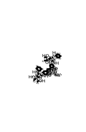 CC(O)N(c1nc(Nc2ccccc2)nc(Nc2ccc(C=Cc3ccc(Nc4nc(Nc5ccccc5)nc(N(C(C)O)C(C)O)n4)cc3S(=O)(=O)[O-])c(S(=O)(=O)[O-])c2)n1)C(C)O.[Na+].[Na+]